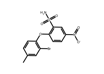 Cc1ccc(Oc2ccc([N+](=O)[O-])cc2S(N)(=O)=O)c(Br)c1